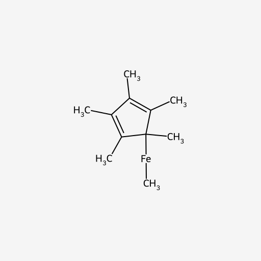 [CH3][Fe][C]1(C)C(C)=C(C)C(C)=C1C